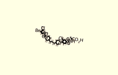 CC(NS(=O)(=O)c1ccc(N2CCC(CCCC3CCN(S(=O)(=O)c4cc(Br)c(Cl)s4)CC3)CC2)c(Cl)c1)C(=O)O